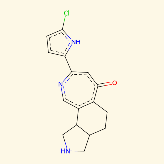 O=c1cc(-c2ccc(Cl)[nH]2)ncc2c1CCC1CNCC21